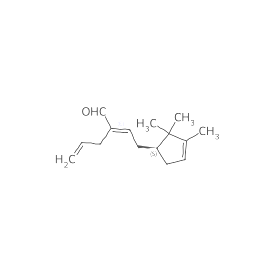 C=CC/C(C=O)=C\C[C@@H]1CC=C(C)C1(C)C